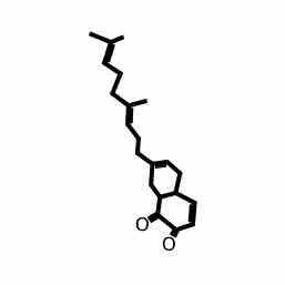 CC(C)=CCC/C(C)=C/CCC1=CCC2C=CC(=O)C(=O)C2C1